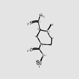 CN1CCN(C(=O)OC(C)(C)C)CC1C(N)=S